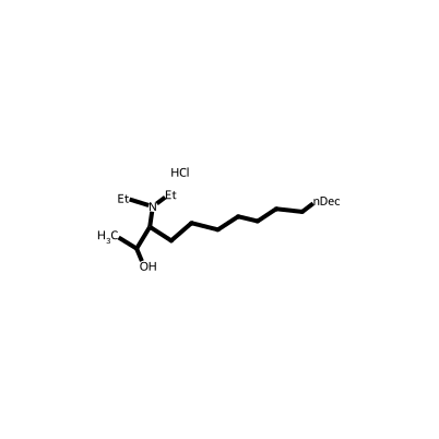 CCCCCCCCCCCCCCCCCC(C(C)O)N(CC)CC.Cl